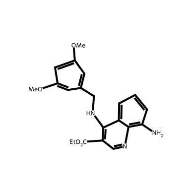 CCOC(=O)c1cnc2c(N)cccc2c1NCc1cc(OC)cc(OC)c1